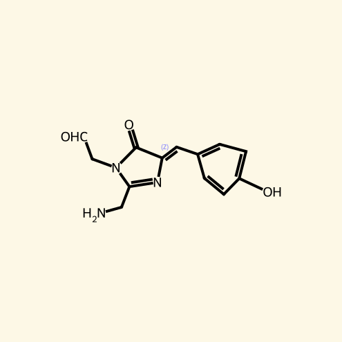 NCC1=N/C(=C\c2ccc(O)cc2)C(=O)N1CC=O